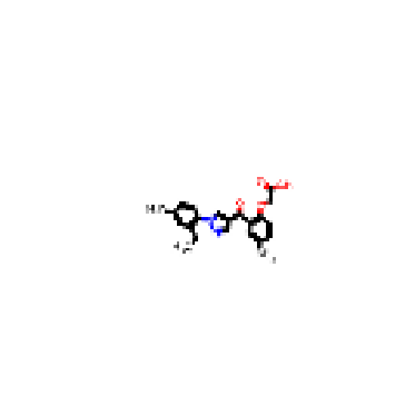 Bc1ccc(-n2cc(C(=O)c3cc(B)ccc3OCC(=O)O)cn2)c(CC)c1